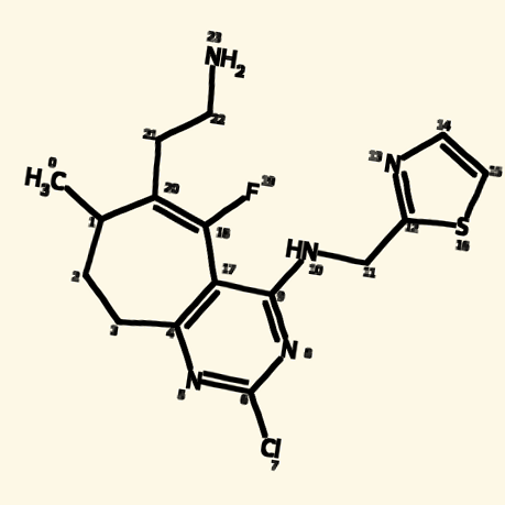 CC1CCc2nc(Cl)nc(NCc3nccs3)c2C(F)=C1CCN